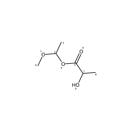 COC(C)OC(=O)C(C)O